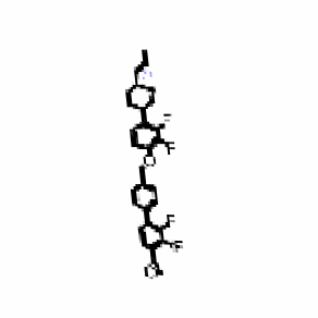 C/C=C/C1CCC(c2ccc(OCc3ccc(-c4ccc(C5CO5)c(F)c4F)cc3)c(F)c2F)CC1